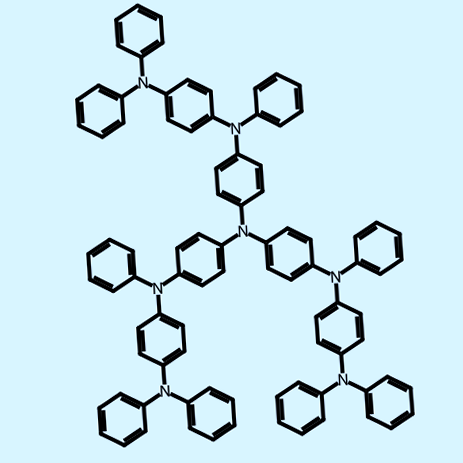 c1ccc(N(c2ccccc2)c2ccc(N(c3ccccc3)c3ccc(N(c4ccc(N(c5ccccc5)c5ccc(N(c6ccccc6)c6ccccc6)cc5)cc4)c4ccc(N(c5ccccc5)c5ccc(N(c6ccccc6)c6ccccc6)cc5)cc4)cc3)cc2)cc1